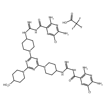 N=C(NC(=O)c1nc(Cl)c(N)nc1N)NC1CCN(c2nc(N3CCC(NC(=N)NC(=O)c4nc(Cl)c(N)nc4N)CC3)nc(N3CCC(C(=O)O)CC3)n2)CC1.O=C(O)C(F)(F)F